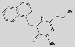 CCCCOC(=O)[C@H](Cc1cccc2ccccc12)NC(=O)CCC(C)C